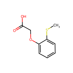 CSc1ccccc1OCC(=O)O